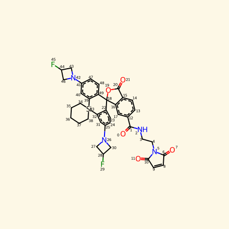 O=C(NCCN1C(=O)C=CC1=O)c1ccc2c(c1)C1(OC2=O)c2ccc(N3CC(F)C3)cc2[Si]2(CCCCC2)c2cc(N3CC(F)C3)ccc21